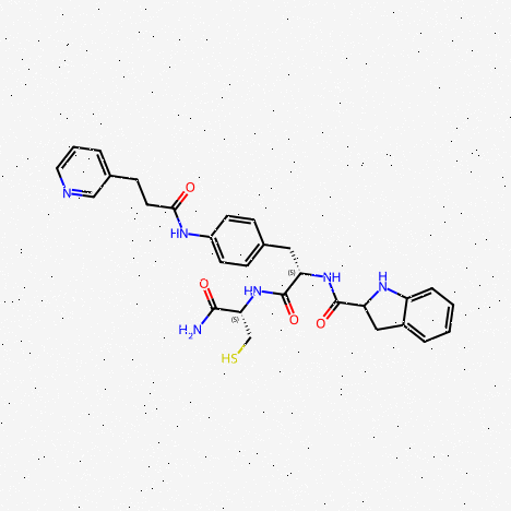 NC(=O)[C@@H](CS)NC(=O)[C@H](Cc1ccc(NC(=O)CCc2cccnc2)cc1)NC(=O)C1Cc2ccccc2N1